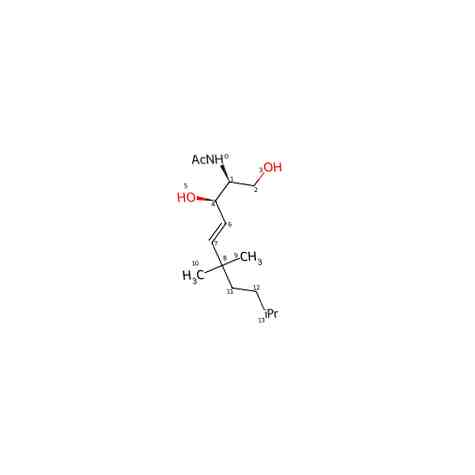 CC(=O)N[C@@H](CO)[C@H](O)/C=C/C(C)(C)CCC(C)C